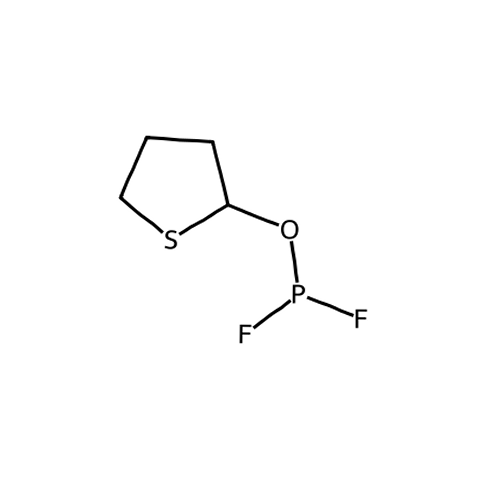 FP(F)OC1CCCS1